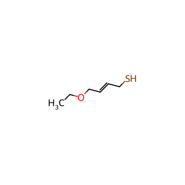 CCOCC=CCS